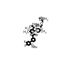 CCCCOc1cc(F)c(F)cc1-c1cccc(-c2nc3c(C)c(C)c([C@H](OC(C)(C)C)C(=O)OC)c(N4CCC(C)(OCCOC[C@@H](C)OCCCC)CC4)n3c2Br)c1